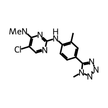 CNc1nc(Nc2ccc(-c3nnnn3C)cc2C)ncc1Cl